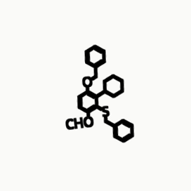 O=Cc1ccc(OCc2ccccc2)c(C2CCCCC2)c1SCc1ccccc1